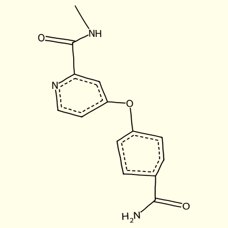 CNC(=O)c1cc(Oc2ccc(C(N)=O)cc2)ccn1